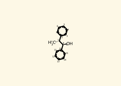 C[C@H](c1ccccc1)[C@@H](O)c1ccccc1